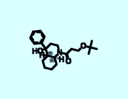 CC(C)(C)OCCC(=O)N1CCC(O)(c2ccccc2)[C@H]2CCCC[C@@H]21